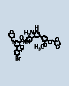 COc1cc(C2=CNC(N)C(c3ccc(NC(=O)c4cn(CC5CCOCC5)cc(-c5ccc(Br)cc5F)c4=O)cc3)=C2)ccc1OCC1COCCO1